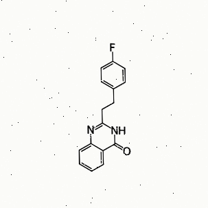 O=c1[nH]c(CCc2ccc(F)cc2)nc2ccccc12